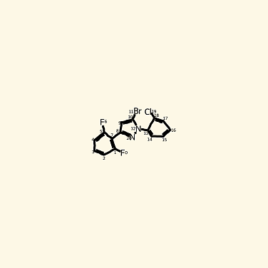 Fc1cccc(F)c1-c1cc(Br)n(-c2ccccc2Cl)n1